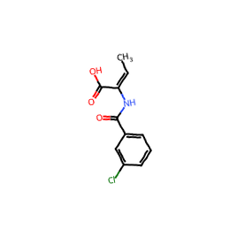 C/C=C(/NC(=O)c1cccc(Cl)c1)C(=O)O